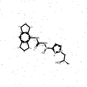 C[C@@H](O)Cn1ccc([S+]([O-])NC(=O)Nc2c3c(cc4c2CCC4)CCC3)n1